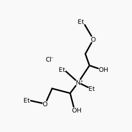 CCOCC(O)[N+](CC)(CC)C(O)COCC.[Cl-]